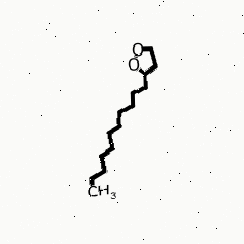 CCCCCCCCCCCC1CCOO1